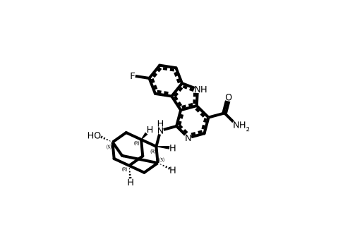 NC(=O)c1cnc(N[C@H]2[C@@H]3C[C@H]4C[C@H]2C[C@@](O)(C4)C3)c2c1[nH]c1ccc(F)cc12